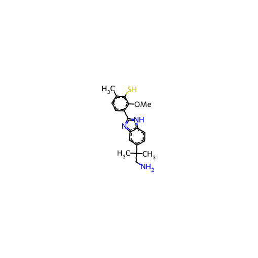 COc1c(-c2nc3cc(C(C)(C)CN)ccc3[nH]2)ccc(C)c1S